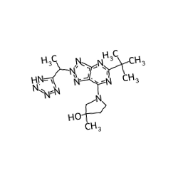 CC(c1nnn[nH]1)n1nc2nc(C(C)(C)C)nc(N3CCC(C)(O)C3)c2n1